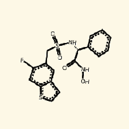 O=C(NO)[C@H](NS(=O)(=O)Cc1cc2ccsc2cc1F)c1ccccc1